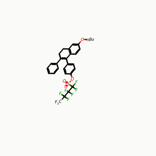 CCCCOc1ccc2c(c1)CCC(c1ccccc1)=C2c1ccc(OS(=O)(=O)C(F)(F)C(F)(F)C(F)(F)C(F)(F)F)cc1